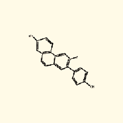 CCCc1ccc2c(ccc3cc(-c4ccc(C#N)cc4)c(F)cc32)c1